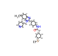 CCSc1ccc(CC(=O)Nc2ccc(-c3nc4ccc(C)cc4n3Cc3cccnc3)cc2)cc1